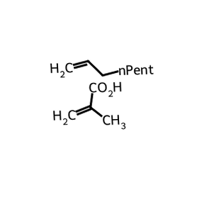 C=C(C)C(=O)O.C=CCCCCCC